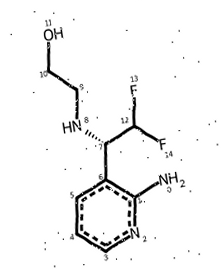 Nc1ncccc1[C@H](NCCO)C(F)F